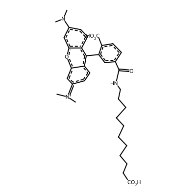 CN(C)c1ccc2c(-c3cc(C(=O)NCCCCCCCCCCC(=O)O)ccc3C(=O)O)c3ccc(=[N+](C)C)cc-3oc2c1